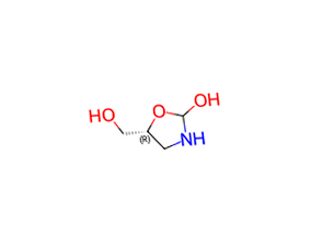 OC[C@H]1CNC(O)O1